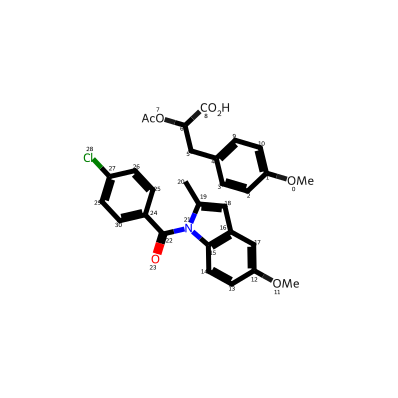 COc1ccc(CC(OC(C)=O)C(=O)O)cc1.COc1ccc2c(c1)cc(C)n2C(=O)c1ccc(Cl)cc1